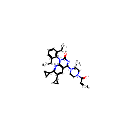 C=CC(=O)N1CCN(c2nc(=O)n(-c3c(CC)cccc3CC)c3nc(C4CC4)c(C4CC4)cc23)[C@@H](C)C1